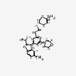 Cc1ccc2nc(C(F)F)n(-c3cc(N4CCOCC4)nc(CCC[C@H]4CC[C@H](N)CC4)n3)c2c1